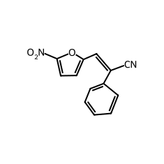 N#C/C(=C/c1ccc([N+](=O)[O-])o1)c1ccccc1